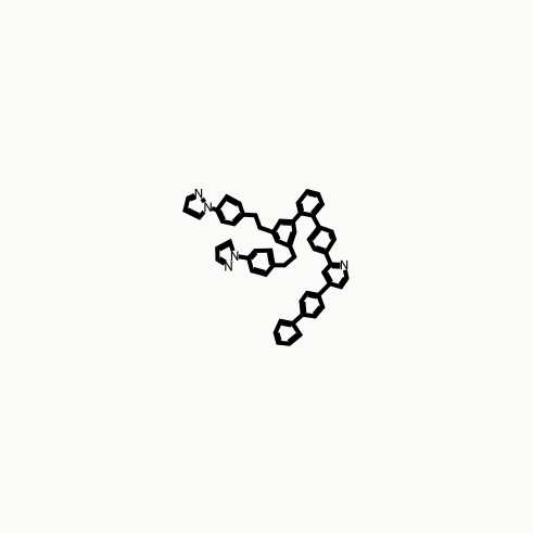 c1ccc(-c2ccc(-c3ccnc(-c4ccc(-c5ccccc5-c5cc(CCc6ccc(-n7cccn7)cc6)cc(CCc6ccc(-n7cccn7)cc6)c5)cc4)c3)cc2)cc1